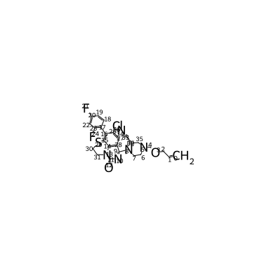 C=CCOCN1CCN(c2nc(=O)n3c4c(c(-c5ccc(F)cc5F)c(Cl)cc24)SCC3)[C@@H](C#N)C1